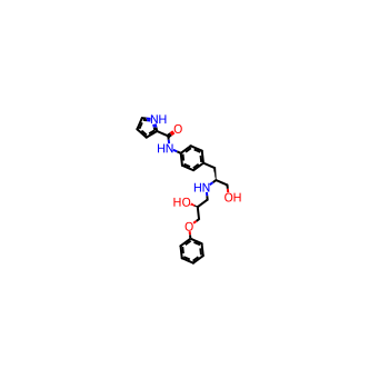 O=C(Nc1ccc(C[C@@H](CO)NC[C@H](O)COc2ccccc2)cc1)c1ccc[nH]1